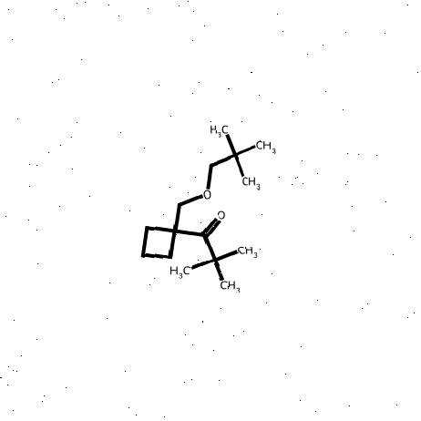 CC(C)(C)COCC1(C(=O)C(C)(C)C)CCC1